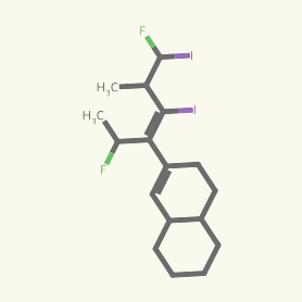 CC(F)/C(C1=CC2CCCCC2CC1)=C(/I)C(C)C(F)I